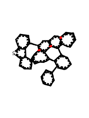 c1ccc(-c2ccccc2-c2c(-c3ccccc3)cccc2N(c2ccccc2)c2ccc(-c3cccc4sc5ccccc5c34)cc2)cc1